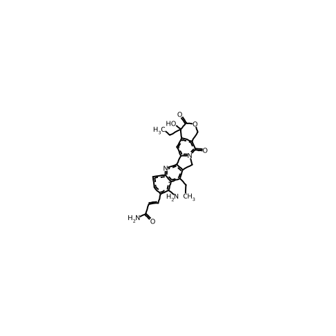 CCc1c2c(nc3ccc(C=CC(N)=O)c(N)c13)-c1cc3c(c(=O)n1C2)COC(=O)C3(O)CC